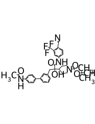 CC(=O)Nc1ccc(-c2cccc(CC(O)(C(=O)Nc3ccc(C#N)c(C(F)(F)F)c3)C3CCN(C(=O)OC(C)(C)C)CC3)c2)cc1